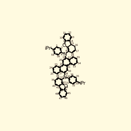 CC(C)c1ccc(N(C2=C3Oc4ccccc4C3CC=C2)c2cc3c4ccccc4c(N(c4ccc(C(C)C)cc4)c4cccc5c4oc4ccccc45)cc3c3ccccc23)cc1